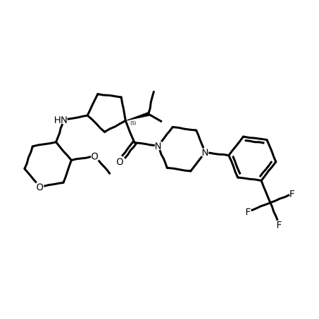 COC1COCCC1NC1CC[C@@](C(=O)N2CCN(c3cccc(C(F)(F)F)c3)CC2)(C(C)C)C1